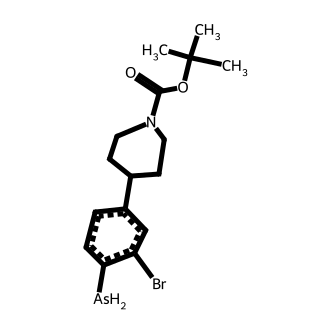 CC(C)(C)OC(=O)N1CCC(c2ccc([AsH2])c(Br)c2)CC1